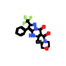 Cc1[nH]c2c(-c3ccccc3)c(C(F)(F)F)nn2c(=O)c1C(=O)N1CCOCC1